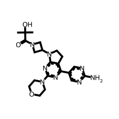 CC(C)(O)C(=O)N1CC(N2CCc3c(-c4cnc(N)nc4)nc(N4CCOCC4)nc32)C1